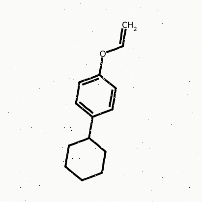 C=COc1ccc(C2CCCCC2)cc1